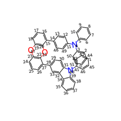 c1ccc(N(c2ccccc2)c2ccc(-c3cccc4c3Oc3c(cccc3-c3ccc5c(c3)c3ccccc3n5-c3ccccc3)O4)cc2)cc1